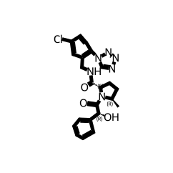 C[C@@H]1CC[C@@H](C(=O)NCc2cc(Cl)ccc2-n2cnnn2)N1C(=O)[C@H](O)c1ccccc1